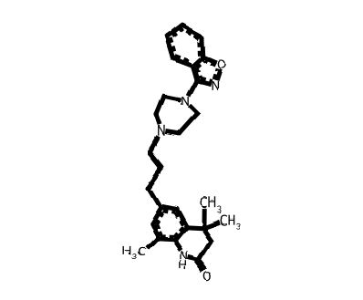 Cc1cc(CCCN2CCN(c3noc4ccccc34)CC2)cc2c1NC(=O)CC2(C)C